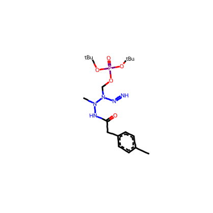 Cc1ccc(CC(=O)NN(C)N(COP(=O)(OC(C)(C)C)OC(C)(C)C)N=N)cc1